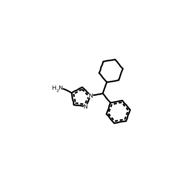 Nc1cnn(C(c2ccccc2)C2CCCCC2)c1